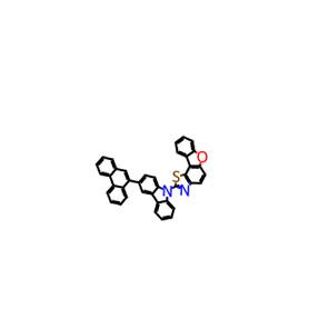 c1ccc2c(c1)cc(-c1ccc3c(c1)c1ccccc1n3-c1nc3ccc4oc5ccccc5c4c3s1)c1ccccc12